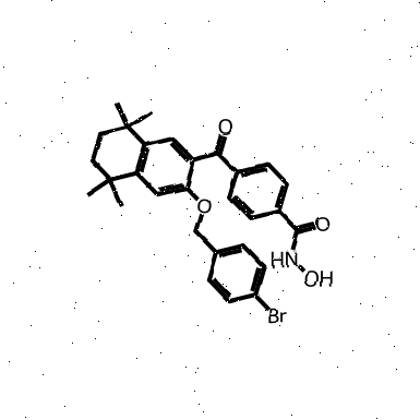 CC1(C)CCC(C)(C)c2cc(C(=O)c3ccc(C(=O)NO)cc3)c(OCc3ccc(Br)cc3)cc21